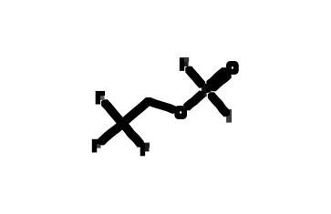 O=P(F)(I)OCC(F)(F)F